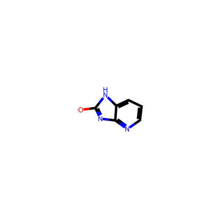 [O]c1nc2ncccc2[nH]1